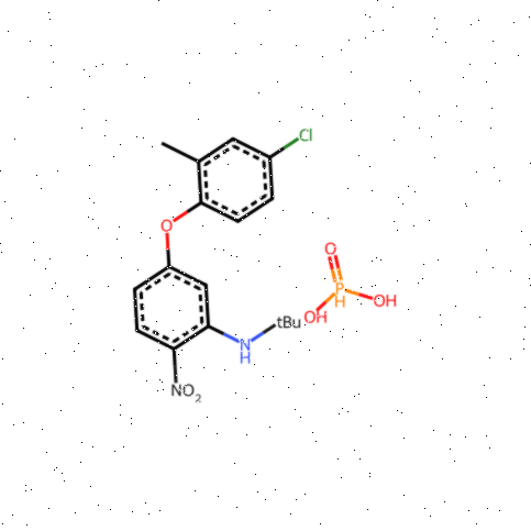 Cc1cc(Cl)ccc1Oc1ccc([N+](=O)[O-])c(NC(C)(C)C)c1.O=[PH](O)O